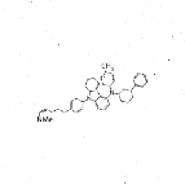 CN/C=C\CCCC1=CCC(N2c3cccc(N(C4C=CC(C)CC4)C4CCCC(c5ccccc5)C4)c3C3=CCCCC32)C=C1